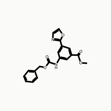 COC(=O)c1cc(NC(=O)OCc2ccccc2)cc(-c2ncco2)c1